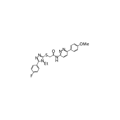 CCn1c(SCC(=O)Nc2ccc(-c3ccc(OC)cc3)nn2)nnc1-c1ccc(F)cc1